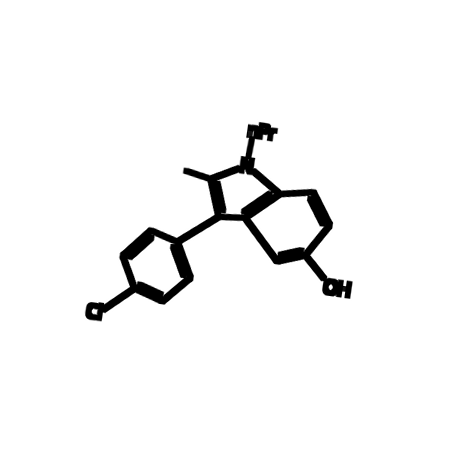 CCCn1c(C)c(-c2ccc(Cl)cc2)c2cc(O)ccc21